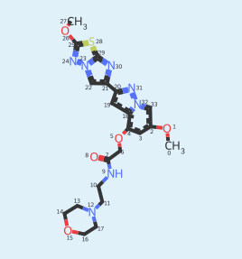 COc1cc(OCC(=O)NCCN2CCOCC2)c2cc(-c3cn4nc(OC)sc4n3)nn2c1